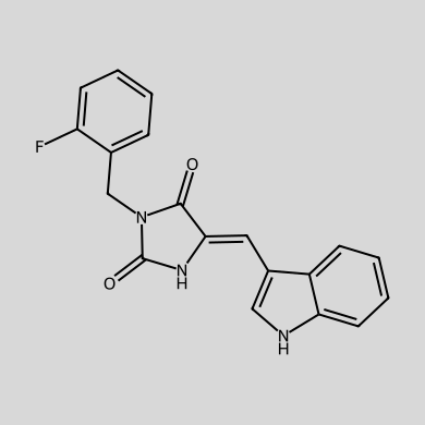 O=C1NC(=Cc2c[nH]c3ccccc23)C(=O)N1Cc1ccccc1F